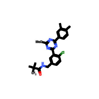 COc1nc(-c2ccc(C)c(C)c2)nc(-c2cc(CNC(=O)C(C)(C)C(F)(F)F)ccc2Cl)n1